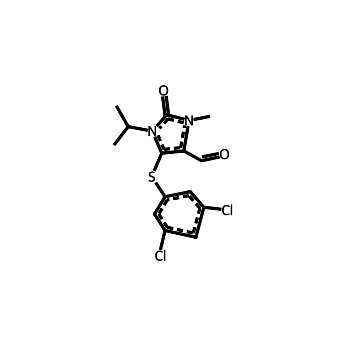 CC(C)n1c(Sc2cc(Cl)cc(Cl)c2)c(C=O)n(C)c1=O